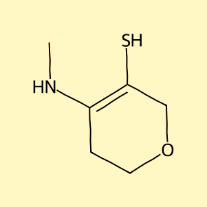 CNC1=C(S)COCC1